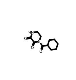 O=C1NCCN(C(=O)C2CCCCC2)C1=O